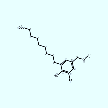 CCCCCCCCCCCCCCCCCCc1cc(COCC)cc(CC)c1O